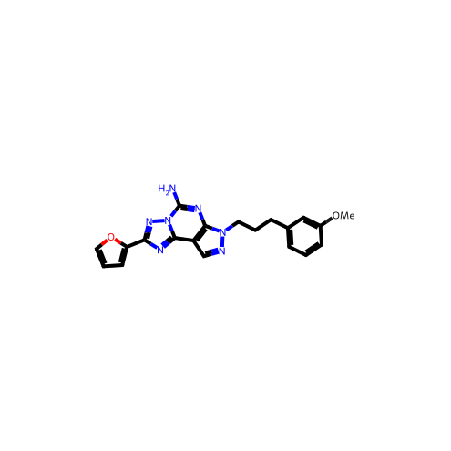 COc1cccc(CCCn2ncc3c2nc(N)n2nc(-c4ccco4)nc32)c1